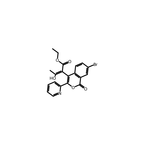 CCOC(=O)/C(=C(\C)O)c1c(-c2ccccn2)oc(=O)c2cc(Br)ccc12